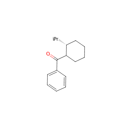 CC(C)[C@@H]1CCCCC1C(=O)c1ccccc1